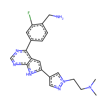 CN(C)CCn1cc(-c2cc3c(-c4ccc(CN)c(F)c4)ncnc3[nH]2)cn1